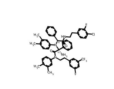 Cc1ccc(N(CCc2cc(F)cc(C(F)(F)F)c2)C(=O)[C@](N)(c2ccccc2)N(c2ccc(C)c(C)c2)[C@H](C(=O)NCCc2ccc(Cl)c(F)c2)c2ccccc2)cc1C